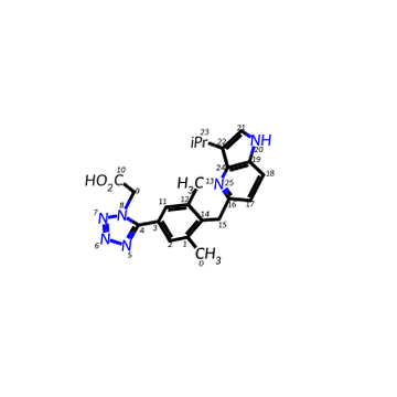 Cc1cc(-c2nnnn2CC(=O)O)cc(C)c1Cc1ccc2[nH]cc(C(C)C)c2n1